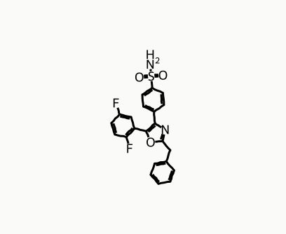 NS(=O)(=O)c1ccc(-c2nc(Cc3ccccc3)oc2-c2cc(F)ccc2F)cc1